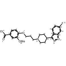 CCC(=O)c1ccc(OCCCN2CCC(c3noc4cc(F)ccc34)CC2)c(OC)c1